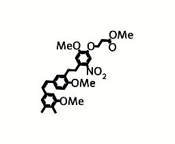 COC(=O)CCOc1cc([N+](=O)[O-])c(CCc2cc(/C=C\c3cc(C)c(C)c(OC)c3)ccc2OC)cc1OC